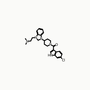 CN(C)CCN1[CH]N(C2CCN(C(=O)c3c[nH]c4cc(Cl)ccc34)CC2)c2ccccc21